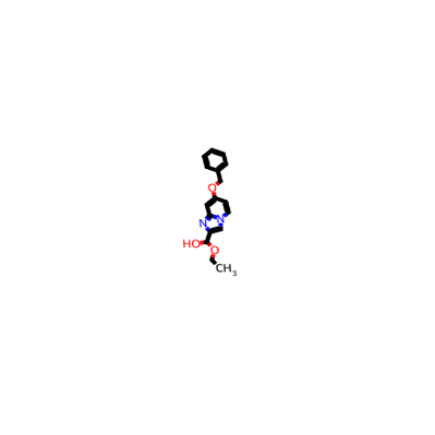 CCOC(O)c1cn2ccc(OCc3ccccc3)cc2n1